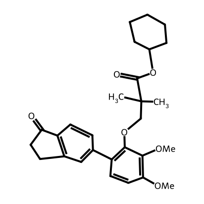 COc1ccc(-c2ccc3c(c2)CCC3=O)c(OCC(C)(C)C(=O)OC2CCCCC2)c1OC